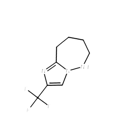 FC(F)(F)c1cn2c(n1)CCCCN2